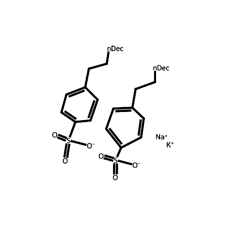 CCCCCCCCCCCCc1ccc(S(=O)(=O)[O-])cc1.CCCCCCCCCCCCc1ccc(S(=O)(=O)[O-])cc1.[K+].[Na+]